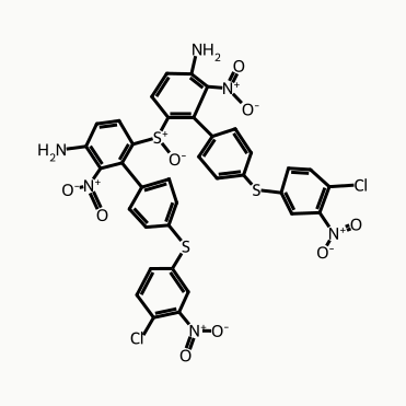 Nc1ccc([S+]([O-])c2ccc(N)c([N+](=O)[O-])c2-c2ccc(Sc3ccc(Cl)c([N+](=O)[O-])c3)cc2)c(-c2ccc(Sc3ccc(Cl)c([N+](=O)[O-])c3)cc2)c1[N+](=O)[O-]